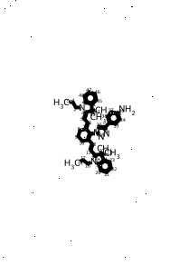 CCCN1/C(=C/C=C2\CCCC(/C=C/C3=[N+](CCC)c4ccccc4C3(C)C)=C2n2cc(-c3ccc(N)cc3)nn2)C(C)(C)c2ccccc21